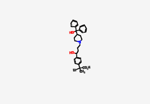 CCC(C)(C(=O)O)c1ccc(C(O)CCCN2CCC(C(O)(c3ccccc3)c3ccccc3)CC2)cc1